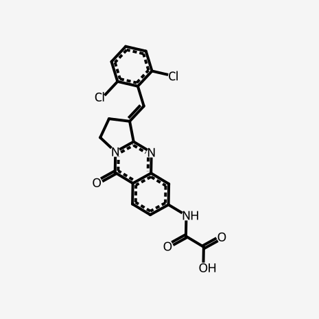 O=C(O)C(=O)Nc1ccc2c(=O)n3c(nc2c1)C(=Cc1c(Cl)cccc1Cl)CC3